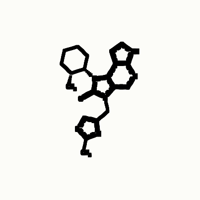 Cc1nc(Cn2c(=O)n([C@H]3CCCC[C@H]3C)c3c4cc[nH]c4ncc32)cs1